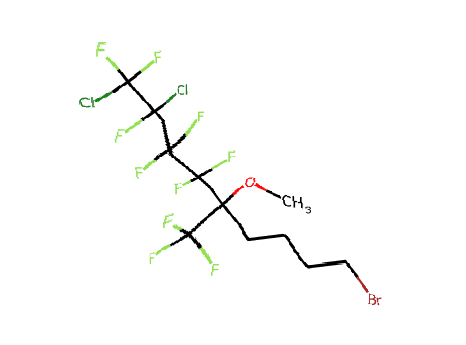 COC(CCCCBr)(C(F)(F)F)C(F)(F)C(F)(F)C(F)(Cl)C(F)(F)Cl